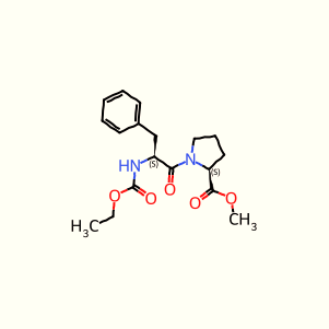 CCOC(=O)N[C@@H](Cc1ccccc1)C(=O)N1CCC[C@H]1C(=O)OC